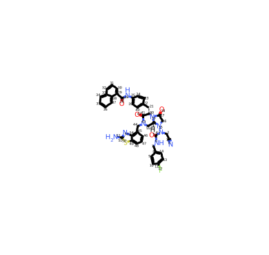 N#CCN(C(=O)NCc1ccc(F)cc1)N1CC(=O)N2[C@@H](Cc3ccc(NC(=O)c4cccc5ccccc45)cc3)C(=O)N(Cc3cccc4sc(N)nc34)C[C@@H]21